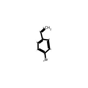 C=Cc1[c]cc(Br)cc1